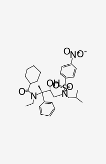 CCN(C(=O)C1CCCCC1)[C@@](C)(c1ccccc1)[C@H](O)CN(CC(C)C)S(=O)(=O)c1ccc([N+](=O)[O-])cc1